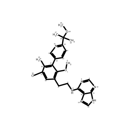 COc1c(CCNc2ncnc3[nH]cnc23)cc(Cl)c(C)c1-c1ccc(C(C)(C)OC)nc1